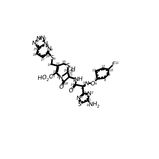 Nc1nc(C(=NOc2ccc(F)cc2)C(=O)NC2C(=O)N3C(C(=O)O)=C(CSc4ccc5nnnn5n4)CS[C@@H]23)ns1